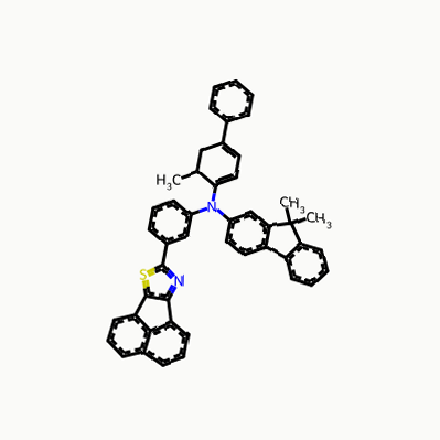 CC1CC(c2ccccc2)=CC=C1N(c1cccc(-c2nc3c(s2)-c2cccc4cccc-3c24)c1)c1ccc2c(c1)C(C)(C)c1ccccc1-2